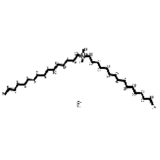 CCCCCCCCCCCCCCCC[N+](C)(C)CCCCCCCCCCCCCCCC.[F-]